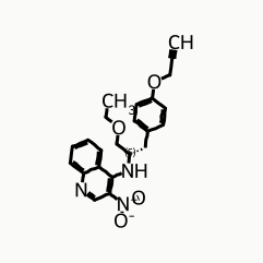 C#CCOc1ccc(C[C@@H](COCC)Nc2c([N+](=O)[O-])cnc3ccccc23)cc1